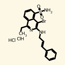 CCc1nc(NCC=Cc2ccccc2)c(Br)c2c(S(N)(=O)=O)cccc12.Cl.Cl